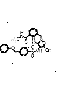 CNC(=O)c1cccc(Cn2nc(C)c(NS(=O)(=O)c3ccc(COc4ccccc4)cc3)c2C)c1